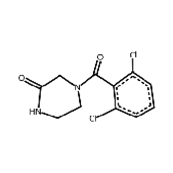 O=C1CN(C(=O)c2c(Cl)cccc2Cl)CCN1